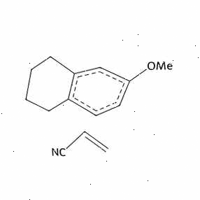 C=CC#N.COc1ccc2c(c1)CCCC2